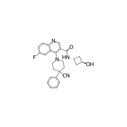 N#CC1(c2ccccc2)CCN(c2c(C(=O)N[C@H]3C[C@H](O)C3)cnc3ccc(F)cc23)CC1